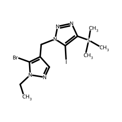 CCn1ncc(Cn2nnc(S(C)(C)C)c2I)c1Br